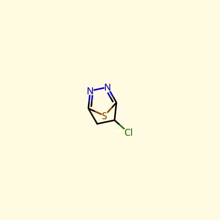 ClC1Cc2nnc1s2